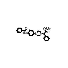 COC(=O)C(c1ccccc1)N1CCN(c2ccc(NC(=O)c3ccccc3)cc2)CC1